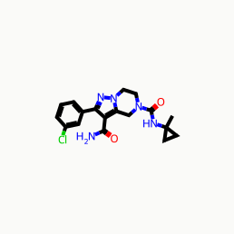 CC1(NC(=O)N2CCn3nc(-c4cccc(Cl)c4)c(C(N)=O)c3C2)CC1